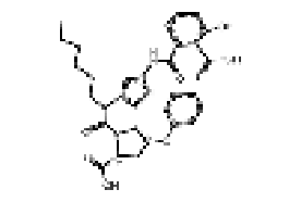 CCCCCCC(C(=O)N1C[C@@H](Oc2ccccc2)C[C@H]1C(=O)O)n1cnc(NC(=O)c2cccc(O)c2C(=O)O)c1